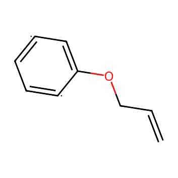 C=CCOc1[c]cc[c]c1